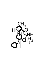 CC(=N)NC(=O)C1=C(N2CCC(NC3CCCCC3)[C@@H](C)C2)NCC(C)=C1